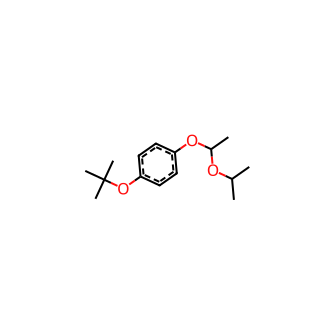 CC(C)OC(C)Oc1ccc(OC(C)(C)C)cc1